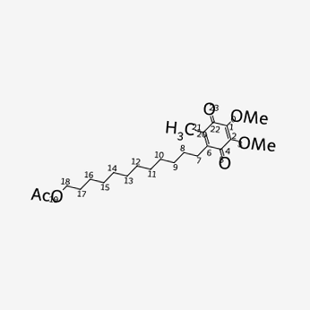 COC1=C(OC)C(=O)C(CCCCCCCCCCCCOC(C)=O)=C(C)C1=O